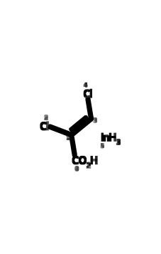 O=C(O)C(Cl)=CCl.[InH3]